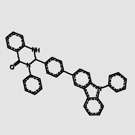 O=C1c2ccccc2NC(c2ccc(-c3ccc4c(c3)c3ccccc3n4-c3ccccc3)cc2)N1c1ccccc1